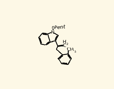 C=C(Cc1ccccc1C)c1cn(CCCCC)c2ccccc12